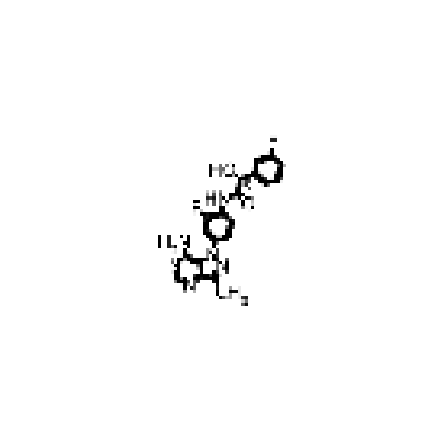 Cc1nn(-c2ccc(NC(=O)[C@H](O)c3cccc(F)c3)c(F)c2)c2c(N)ncnc12